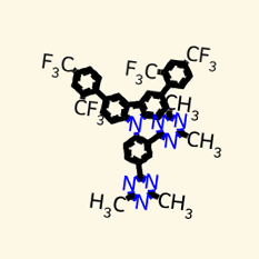 Cc1nc(C)nc(-c2ccc(-n3c4ccc(-c5ccc(C(F)(F)F)cc5C(F)(F)F)cc4c4cc(-c5ccc(C(F)(F)F)cc5C(F)(F)F)ccc43)c(-c3nc(C)nc(C)n3)c2)n1